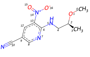 CO[C@@H](C)CNc1ncc(C#N)cc1[N+](=O)[O-]